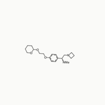 CN[C@H](CN1CCC1)c1ccc(OCCOC2CCCCO2)cc1